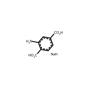 Nc1cc(C(=O)O)ccc1C(=O)O.[NaH]